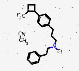 CC#N.CCN(CCCc1ccc(C2CCC2C(F)(F)F)cc1)CCc1ccccc1